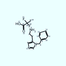 NCCc1cncn1Cc1ccccc1.O=C(O)C(F)(F)F